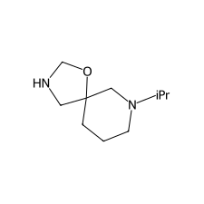 CC(C)N1CCCC2(CNCO2)C1